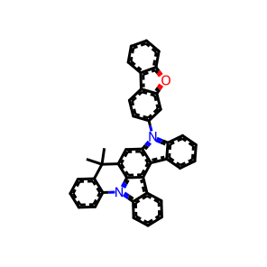 CC1(C)c2ccccc2-n2c3ccccc3c3c4c5ccccc5n(-c5ccc6c(c5)oc5ccccc56)c4cc1c32